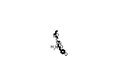 CCc1cnc(CSc2cnc(C(N)C(=O)Cc3ccc(OC)cc3)s2)o1